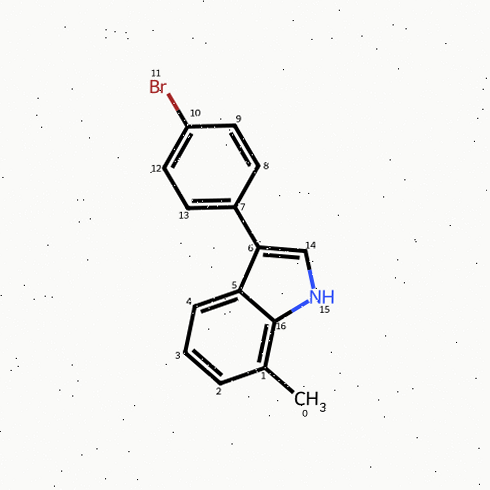 Cc1cccc2c(-c3ccc(Br)cc3)c[nH]c12